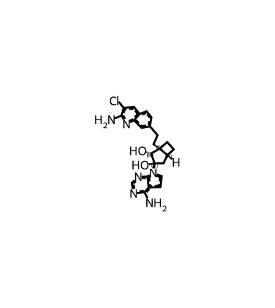 Nc1nc2cc(CC[C@@]34CC[C@@H]3C[C@](O)(n3ccc5c(N)ncnc53)[C@@H]4O)ccc2cc1Cl